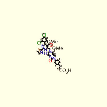 COC[C@@H]1[C@H]2CN(c3ccc(CCC(=O)O)cc3)C(=O)N2CCN1CC1=C(C(=O)OC)[C@H](c2ccc(Cl)cc2Cl)N=C(c2nccs2)N1